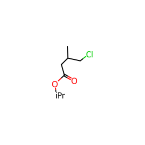 CC(CCl)CC(=O)OC(C)C